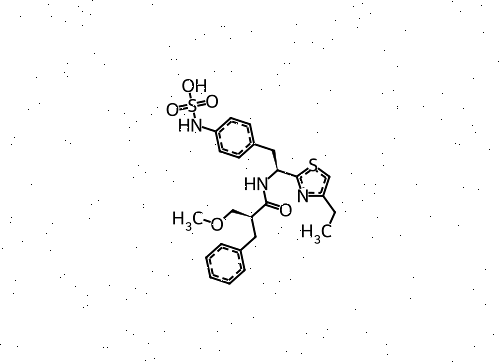 CCc1csc([C@H](Cc2ccc(NS(=O)(=O)O)cc2)NC(=O)[C@H](COC)Cc2ccccc2)n1